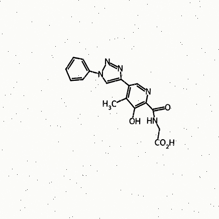 Cc1c(-c2cn(-c3ccccc3)nn2)cnc(C(=O)NCC(=O)O)c1O